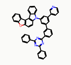 c1ccc(-c2nc(-c3ccccc3)nc(-c3cccc(-c4cc(-c5cccnc5)cc(-n5c6ccccc6c6c7c(ccc65)oc5ccccc57)c4)c3)n2)cc1